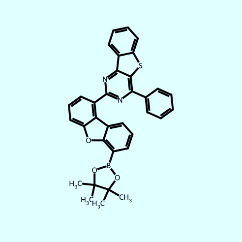 CC1(C)OB(c2cccc3c2oc2cccc(-c4nc(-c5ccccc5)c5sc6ccccc6c5n4)c23)OC1(C)C